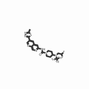 [2H]C([2H])([2H])N(CC(F)F)C1CCN(C(=O)Nc2cc3cc(-c4nnc(C)s4)cnc3cn2)CC1